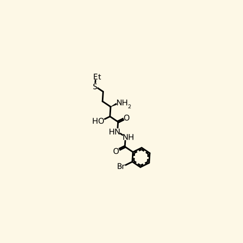 CCSCC[C@@H](N)C(O)C(=O)NNC(=O)c1ccccc1Br